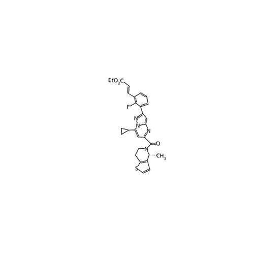 CCOC(=O)/C=C/c1cccc(-c2cc3nc(C(=O)N4CCc5sccc5[C@H]4C)cc(C4CC4)n3n2)c1F